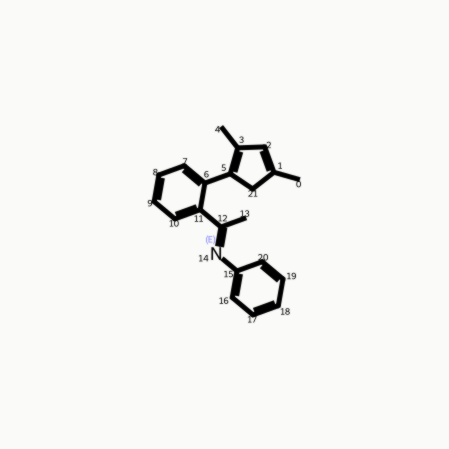 CC1=CC(C)=C(c2ccccc2/C(C)=N/c2ccccc2)C1